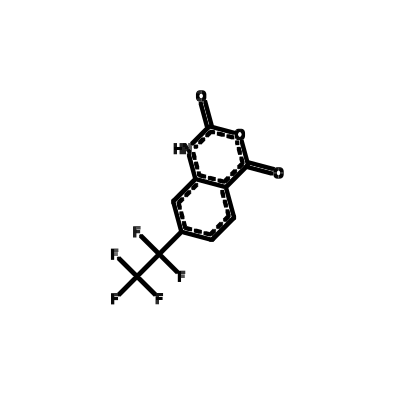 O=c1[nH]c2cc(C(F)(F)C(F)(F)F)ccc2c(=O)o1